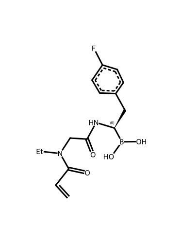 C=CC(=O)N(CC)CC(=O)N[C@@H](Cc1ccc(F)cc1)B(O)O